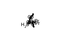 B[C@H]1C[C@H](OP(OCC=C)N(C(C)C)C(C)C)[C@@H](COC(=O)OCC=C)O1